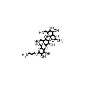 CC(=O)NC1C(OC2C(O)C(CO)OC(OC3C(CO)OC(OCCCN)C(O)C3O)C2O)OC(CO)C(O)C1O